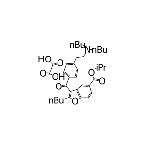 CCCCc1oc2ccc(C(=O)OC(C)C)cc2c1C(=O)c1ccc(CCN(CCCC)CCCC)cc1.O=C(O)C(=O)O